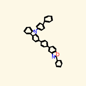 c1ccc(-c2ccc(-n3c4ccccc4c4ccc(-c5ccc(-c6ccc7oc(-c8ccccc8)nc7c6)cc5)cc43)cc2)cc1